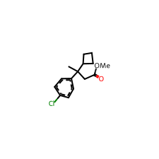 COC(=O)CC(C)(c1ccc(Cl)cc1)C1CCC1